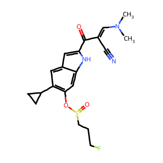 CN(C)/C=C(\C#N)C(=O)c1cc2cc(C3CC3)c(OS(=O)CCCF)cc2[nH]1